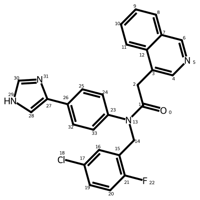 O=C(Cc1cncc2ccccc12)N(Cc1cc(Cl)ccc1F)c1ccc(-c2c[nH]cn2)cc1